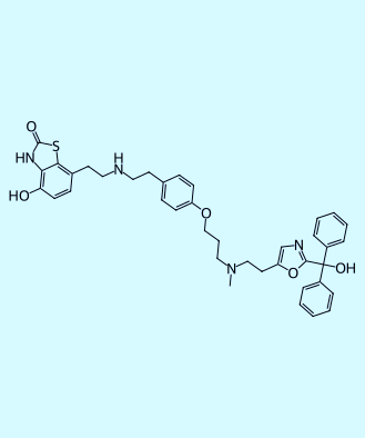 CN(CCCOc1ccc(CCNCCc2ccc(O)c3[nH]c(=O)sc23)cc1)CCc1cnc(C(O)(c2ccccc2)c2ccccc2)o1